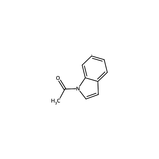 CC(=O)n1ccc2cc[c]cc21